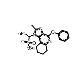 CCCC(n1c(C)nc2c(Oc3ccccc3)nc3c(c21)CCCC3)S(=O)(=O)C(C)(C)C